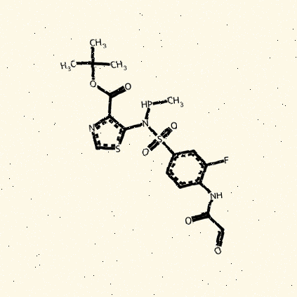 CPN(c1scnc1C(=O)OC(C)(C)C)S(=O)(=O)c1ccc(NC(=O)C=O)c(F)c1